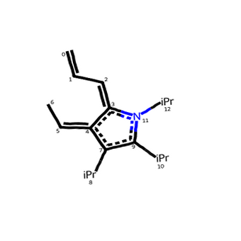 C=C/C=c1\c(=C/C)c(C(C)C)c(C(C)C)n1C(C)C